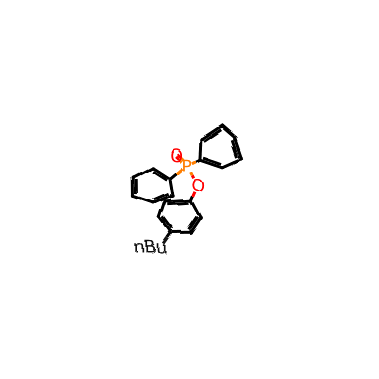 CCCCc1ccc(OP(=O)(c2ccccc2)c2ccccc2)cc1